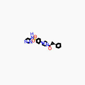 O=C([C@H]1C[C@H]1c1ccccc1)N1CCN(c2ccc(S(=O)(=O)Nc3ccncn3)cc2)CC1